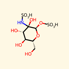 O=S(=O)(O)N[C@]1(O)[C@@H](OS(=O)(=O)O)O[C@H](CO)[C@@H](O)[C@@H]1O